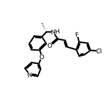 C[C@H](NC(=O)/C=C/c1ccc(Cl)cc1F)c1cccc(Oc2ccncc2)c1